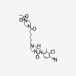 CCS(=O)(=O)N1CCN(C(=O)CCCCCN2CCN3C(=O)N(c4ccc(C#N)c(Cl)c4C)C[C@@H]3C2)CC1